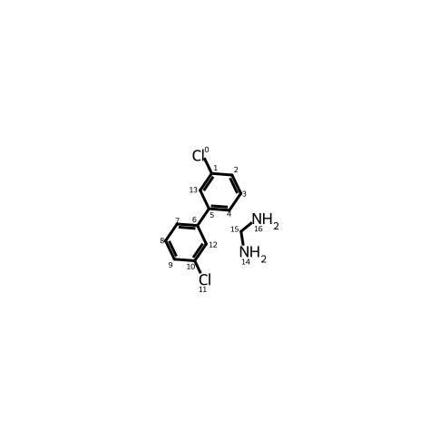 Clc1cccc(-c2cccc(Cl)c2)c1.NCN